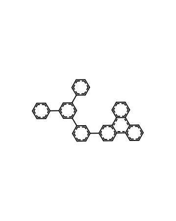 c1ccc(-c2cc(-c3ccccc3)cc(-c3cccc(-c4ccc5c6ccccc6c6ccccc6c5c4)c3)c2)cc1